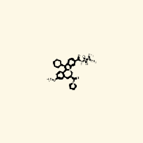 COc1ccc2c(c1)C=C(C(=O)N1CCCC1)Cn1c-2c(C2CCCCC2)c2ccc(C(=O)NS(=O)(=O)N(C)C)cc21